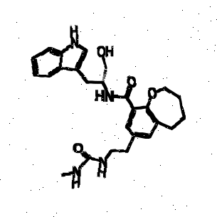 CNC(=O)NCCc1cc2c(c(C(=O)N[C@@H](CO)Cc3c[nH]c4ccccc34)c1)OCCCC2